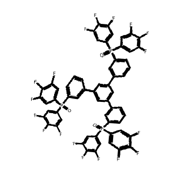 O=P(c1cccc(-c2cc(-c3cccc(P(=O)(c4cc(F)c(F)c(F)c4)c4cc(F)c(F)c(F)c4)c3)cc(-c3cccc(P(=O)(c4cc(F)c(F)c(F)c4)c4cc(F)c(F)c(F)c4)c3)c2)c1)(c1cc(F)c(F)c(F)c1)c1cc(F)c(F)c(F)c1